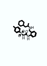 Cc1ccc(S(=O)(=O)NC(=O)Nc2ccccc2CNC(C)CC2CCCCC2)cc1